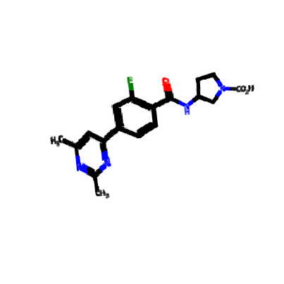 Cc1cc(-c2ccc(C(=O)NC3CCN(C(=O)O)C3)c(F)c2)nc(C)n1